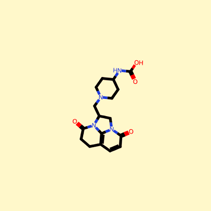 O=C(O)NC1CCN(CC2Cn3c4c(ccc3=O)CCC(=O)N42)CC1